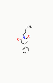 CCC[CH]N1C(=O)CC(c2ccccc2)CC1=O